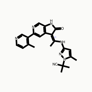 C/C(Nc1cc(C)n(C(C)(C)C#N)n1)=C1/C(=O)Nc2cnc(-c3cnccc3C)cc21